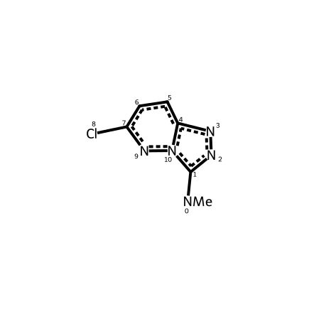 CNc1nnc2ccc(Cl)nn12